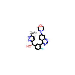 COc1ccc([C@@H](O)c2ccc(F)c(-c3ncnc4cc(N5CCOCC5)ccc34)c2)nn1